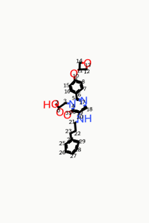 O=C(O)Cn1c(-c2ccc(OC3COC3)cc2)ncc(NCCCc2ccccc2)c1=O